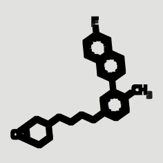 Cc1ccc(CCCCC2CCC3OC3C2)cc1-c1ccc2cc(F)ccc2c1